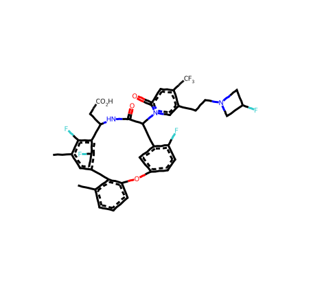 Cc1cc2c(F)c(c1F)C(CC(=O)O)NC(=O)C(n1cc(CCN3CC(F)C3)c(C(F)(F)F)cc1=O)c1cc(ccc1F)Oc1cccc(C)c1-2